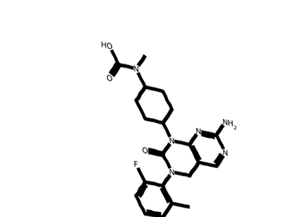 Cc1cccc(F)c1N1Cc2cnc(N)nc2N(C2CCC(N(C)C(=O)O)CC2)C1=O